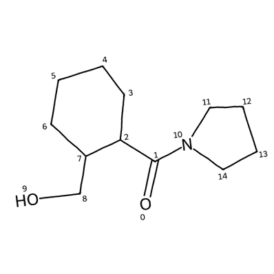 O=C(C1CCCCC1CO)N1CCCC1